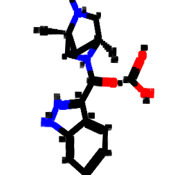 CN1C[C@@H]2C[C@H]1CN2C(=O)c1n[nH]c2ccccc12.O=CO